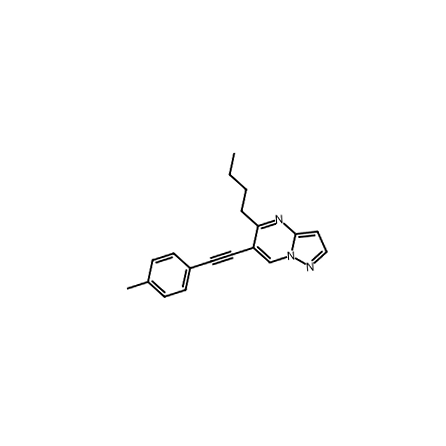 CCCCc1nc2ccnn2cc1C#Cc1ccc(C)cc1